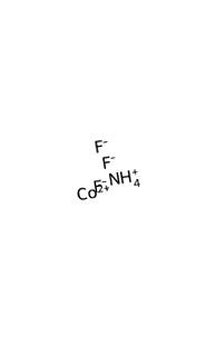 [Co+2].[F-].[F-].[F-].[NH4+]